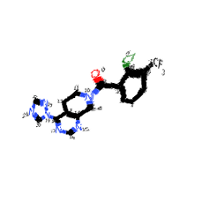 O=C(c1cccc(C(F)(F)F)c1Cl)N1CCc2c(ncnc2-n2cncn2)C1